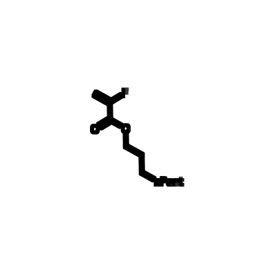 C=C(F)C(=O)OCCCCCCCC